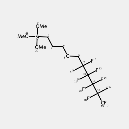 CO[Si](CCCOCC(F)(F)C(F)(F)C(F)(F)C(F)(F)C(F)(F)F)(OC)OC